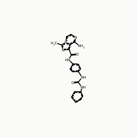 Cc1nc(C(=O)Nc2ccc(NC(=O)Nc3ccccc3)cc2)c2c(N)nccn12